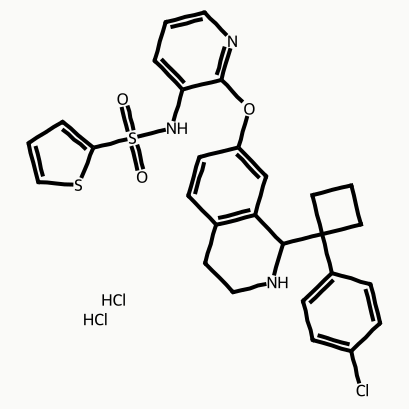 Cl.Cl.O=S(=O)(Nc1cccnc1Oc1ccc2c(c1)C(C1(c3ccc(Cl)cc3)CCC1)NCC2)c1cccs1